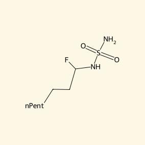 CCCCCCCC(F)NS(N)(=O)=O